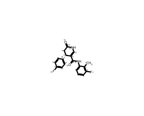 Cc1c(F)cccc1NC(=O)C1=CNC(=O)C[C@H]1c1ccc(F)cc1